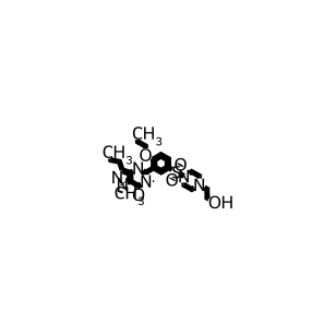 CCCOc1ccc(S(=O)(=O)N2CCN(CCO)CC2)cc1C1=Nc2c(CCC)nn(C)c2C(=O)[N]1